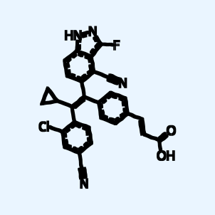 N#Cc1ccc(/C(=C(\c2ccc(/C=C/C(=O)O)cc2)c2ccc3[nH]nc(F)c3c2C#N)C2CC2)c(Cl)c1